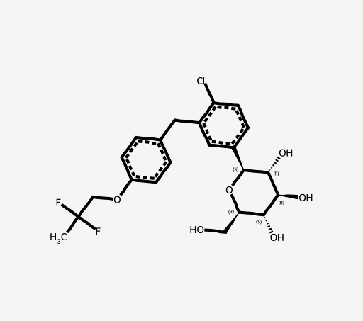 CC(F)(F)COc1ccc(Cc2cc([C@@H]3O[C@H](CO)[C@@H](O)[C@H](O)[C@H]3O)ccc2Cl)cc1